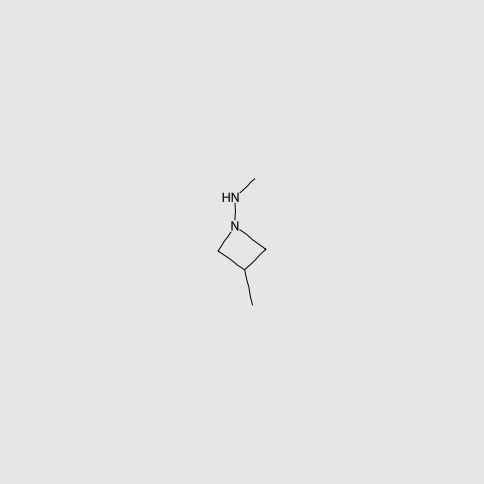 CNN1CC(C)C1